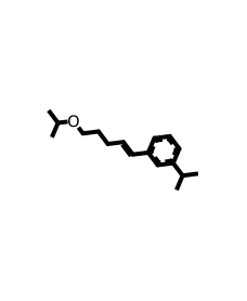 CC(C)OCCC/C=C/c1cccc(C(C)C)c1